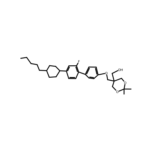 CCCCCC1CCC(c2ccc(-c3ccc(OCC4(CO)COC(C)(C)OC4)cc3)c(F)c2)CC1